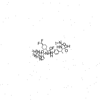 [2H]C([2H])([2H])C([2H])([2H])n1nccc1C(=O)N[C@H](C(=O)Nc1ccc([C@H](C)[C@@H](NC(=O)N(C)C2CC2)C(=O)O)cc1F)C1CCC(=C(F)F)CC1